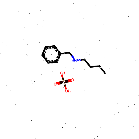 CCCCNCc1ccccc1.O=S(=O)(O)O